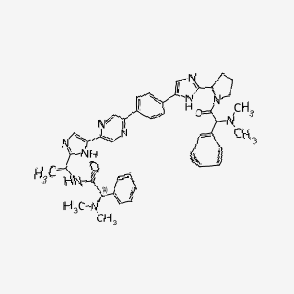 CC(NC(=O)[C@@H](c1ccccc1)N(C)C)c1ncc(-c2cnc(-c3ccc(-c4cnc(C5CCCN5C(=O)C(c5ccccc5)N(C)C)[nH]4)cc3)cn2)[nH]1